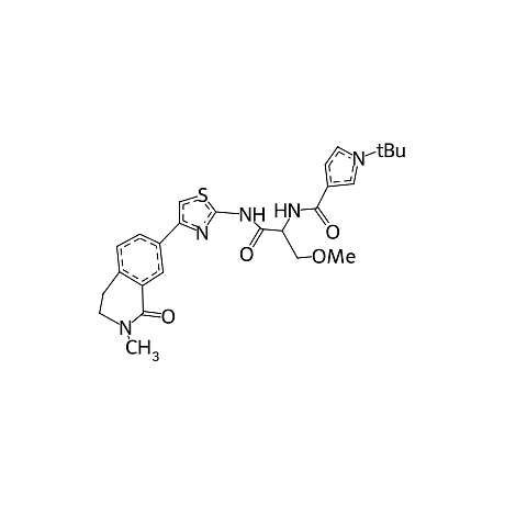 COCC(NC(=O)c1ccn(C(C)(C)C)c1)C(=O)Nc1nc(-c2ccc3c(c2)C(=O)N(C)CC3)cs1